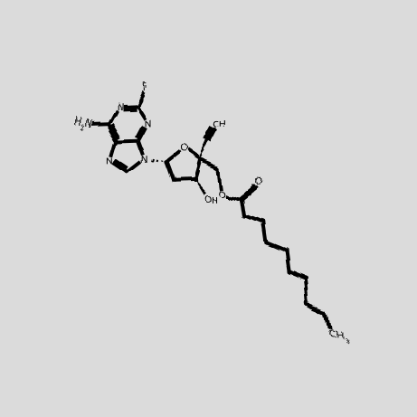 C#C[C@]1(COC(=O)CCCCCCCCC)O[C@@H](n2cnc3c(N)nc(F)nc32)C[C@@H]1O